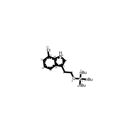 CCCC[Si](CCCC)(CCCC)OCCc1c[nH]c2c(CC)cccc12